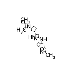 CO[C@@H]1CN([C@@H]2CC[C@H](c3cc(NC(=O)Cc4cc(C)no4)n[nH]3)C2)[C@H]1C